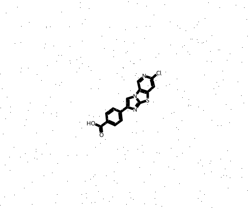 O=C(O)c1ccc(-c2cn3c(n2)sc2cc(Cl)ncc23)cc1